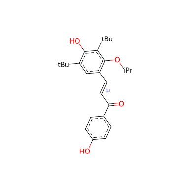 CC(C)Oc1c(/C=C/C(=O)c2ccc(O)cc2)cc(C(C)(C)C)c(O)c1C(C)(C)C